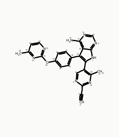 C#Cc1ncc(-c2[nH]c3ncnc(N)c3c2-c2ccc(Oc3nccc(C)n3)cc2)c(C)n1